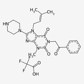 CC(C)=CCn1c(N2CCNCC2)nc2c1c(=O)n(CC(=O)c1ccccc1)c(=O)n2C.O=C(O)C(F)(F)F